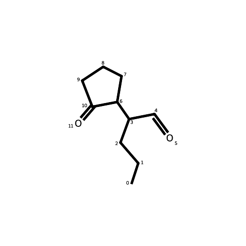 CCCC(C=O)C1CCCC1=O